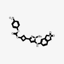 CC(C)(C)n1nc(C2CC(OC(=O)Oc3ccc([N+](=O)[O-])cc3)C2)cc1Nc1ccc2c(c1)CS(=O)(=O)C2